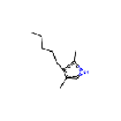 CCCCCc1c(C)c[nH]c1C